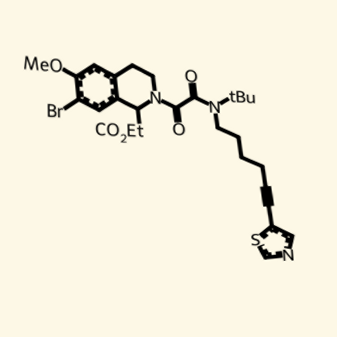 CCOC(=O)C1c2cc(Br)c(OC)cc2CCN1C(=O)C(=O)N(CCCCC#Cc1cncs1)C(C)(C)C